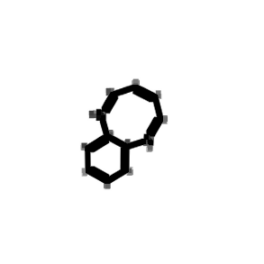 C1=CC=Nc2ccccc2N=C1